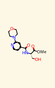 COC(=O)[C@H](CO)NC(=O)c1ccnc(N2CCOCC2)c1